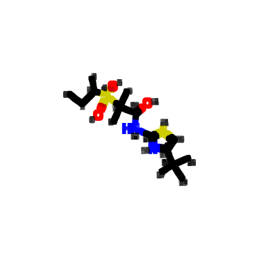 CCC(C)S(=O)(=O)C(C)(C)C(=O)Nc1nc(C(C)(C)C)cs1